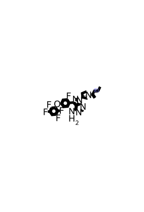 C=C(/C=C/C)N1CC[C@@H](n2nc(-c3ccc(Oc4c(F)c(F)cc(F)c4F)cc3F)c3c(N)ncnc32)C1